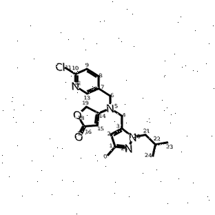 Cc1cc(CN(Cc2ccc(Cl)nc2)C2=CC(=O)OC2)n(CC(C)C)n1